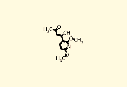 COc1ccc(C(C)=CC(C)=O)c(OC)n1